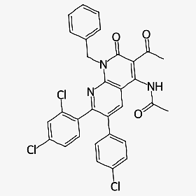 CC(=O)Nc1c(C(C)=O)c(=O)n(Cc2ccccc2)c2nc(-c3ccc(Cl)cc3Cl)c(-c3ccc(Cl)cc3)cc12